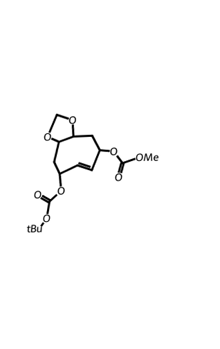 COC(=O)OC1/C=C/C(OC(=O)OC(C)(C)C)CC2OCOC2C1